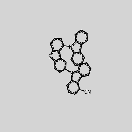 N#Cc1cccc2c1c1ccccc1n2-c1ccc2sc3cccc(-n4c5ccccc5c5ccccc54)c3c2c1